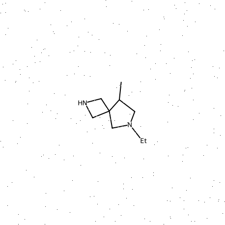 CCN1CC(C)C2(CNC2)C1